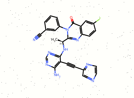 C[C@H](Nc1ncnc(N)c1C#Cc1cnccn1)c1nc2ccc(F)cc2c(=O)n1-c1cccc(C#N)c1